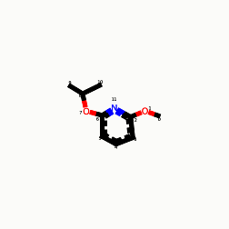 COc1cc[c]c(OC(C)C)n1